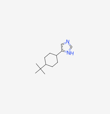 CC(C)(C)C1CCC(c2cnc[nH]2)CC1